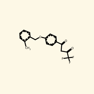 Cc1ccccc1COc1ccc(C(=O)CC(=O)C(F)(F)F)cc1